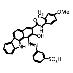 COc1ccc(NC(=O)c2cc3ccc4c5ccccc5[nH]c4c3c(N=Nc3cccc(S(=O)(=O)O)c3)c2O)c(C)c1